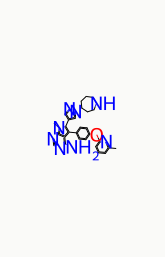 Cc1cccc(Oc2ccc(-c3c(-c4cnn(C5CCCNCC5)c4)n(C)c4ncnc(N)c34)cc2)n1